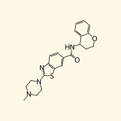 CN1CCN(c2nc3ccc(C(=O)NC4CCOc5ccccc54)cc3s2)CC1